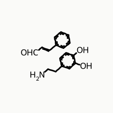 NCCc1ccc(O)c(O)c1.O=CC=Cc1ccccc1